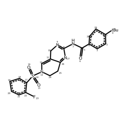 CC(C)(C)c1ccc(C(=O)NC2=NCC3=CN(S(=O)(=O)c4ccccc4F)CCC3=N2)cc1